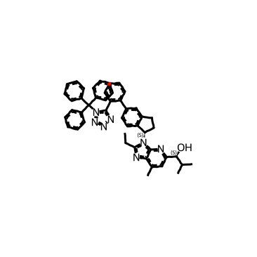 CCc1nc2c(C)cc([C@@H](O)C(C)C)nc2n1[C@H]1CCc2cc(-c3ccccc3-c3nnnn3C(c3ccccc3)(c3ccccc3)c3ccccc3)ccc21